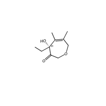 CC[C@]1(O)C(=O)COCC(C)=C1C